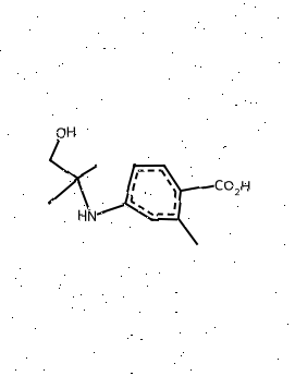 Cc1cc(NC(C)(C)CO)ccc1C(=O)O